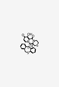 O=C1c2c(O)c(=O)ccn2N([C@H]2c3ccccc3CSc3ccccc32)[C@@H]2CSCCN12